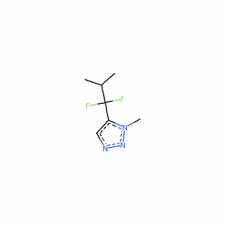 CC(C)C(F)(F)c1cnnn1C